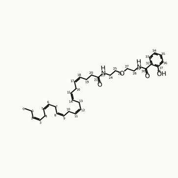 CC/C=C\C/C=C\C/C=C\C/C=C\C/C=C\C/C=C\CCC(=O)NCCOCCNC(=O)c1ccccc1O